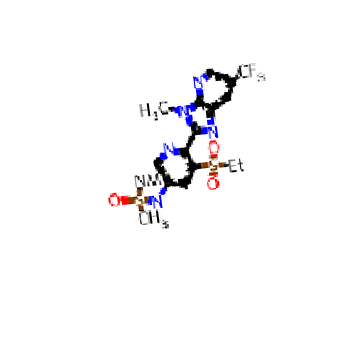 CCS(=O)(=O)c1cc(N=S(C)(=O)NC)cnc1-c1nc2cc(C(F)(F)F)cnc2n1C